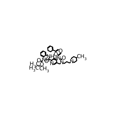 CC1CCN(CCCN(Cc2ccc(C(=O)Nc3ccccc3NC(=O)OC(C)(C)C)nc2)C(=O)NC2=COC=C(C3=CC=CCC3)O2)CC1